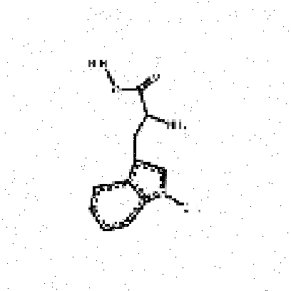 Cn1cc(CC(N)C(=O)ON)c2ccccc21